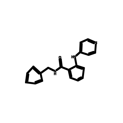 O=C(NCc1ccccc1)c1ccccc1Nc1ccncc1